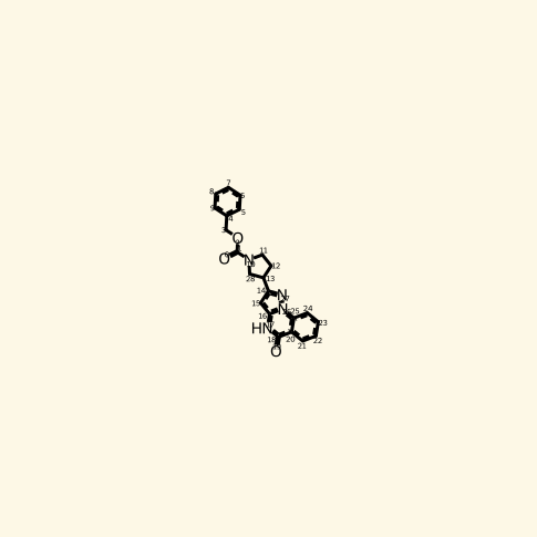 O=C(OCc1ccccc1)N1CCC(c2cc3[nH]c(=O)c4ccccc4n3n2)C1